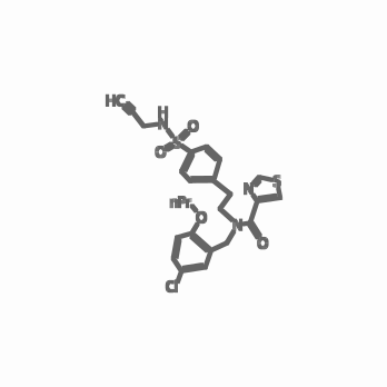 C#CCNS(=O)(=O)c1ccc(CCN(Cc2cc(Cl)ccc2OCCC)C(=O)c2cscn2)cc1